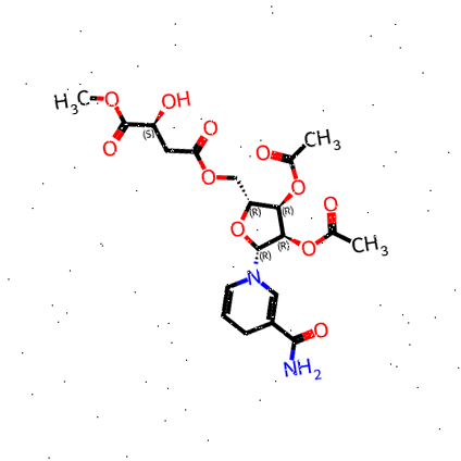 COC(=O)[C@@H](O)CC(=O)OC[C@H]1O[C@@H](N2C=CCC(C(N)=O)=C2)[C@H](OC(C)=O)[C@@H]1OC(C)=O